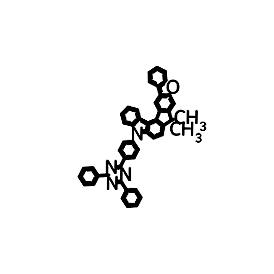 CC1(C)c2cc3oc4ccccc4c3cc2-c2c1ccc1c2c2ccccc2n1-c1ccc(-c2nc(-c3ccccc3)nc(-c3ccccc3)n2)cc1